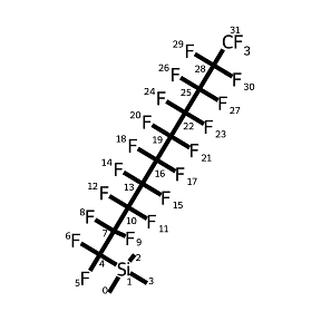 C[Si](C)(C)C(F)(F)C(F)(F)C(F)(F)C(F)(F)C(F)(F)C(F)(F)C(F)(F)C(F)(F)C(F)(F)C(F)(F)F